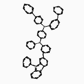 c1ccc(-c2ccc(N(c3ccc(N(c4ccccc4)c4cccc(-c5ccc6c7ccccc7n(-c7ccccc7)c6c5)c4)cc3)c3cccc(-c4ccccc4)c3)cc2)cc1